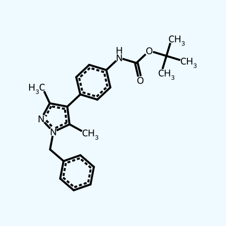 Cc1nn(Cc2ccccc2)c(C)c1-c1ccc(NC(=O)OC(C)(C)C)cc1